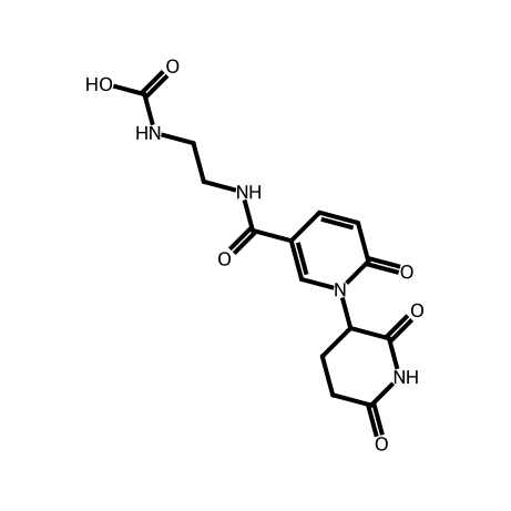 O=C(O)NCCNC(=O)c1ccc(=O)n(C2CCC(=O)NC2=O)c1